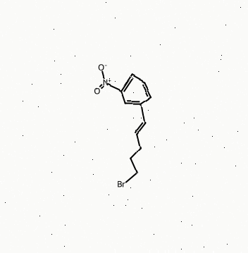 O=[N+]([O-])c1cccc(C=CCCCBr)c1